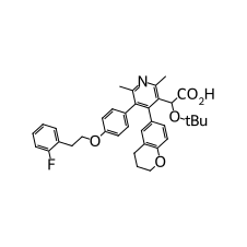 Cc1nc(C)c(C(OC(C)(C)C)C(=O)O)c(-c2ccc3c(c2)CCCO3)c1-c1ccc(OCCc2ccccc2F)cc1